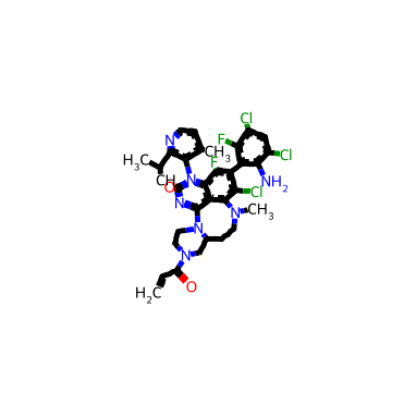 C=CC(=O)N1CCN2c3nc(=O)n(-c4c(C)ccnc4C(C)C)c4c(F)c(-c5c(N)c(Cl)cc(Cl)c5F)c(Cl)c(c34)N(C)CCC2C1